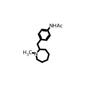 CC(=O)Nc1ccc(CC2CCCCCN2C)cc1